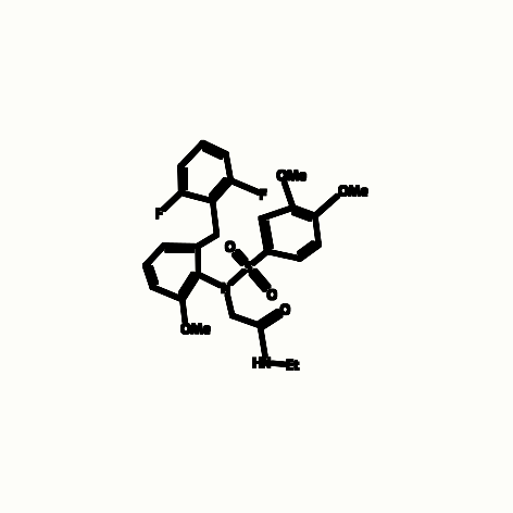 CCNC(=O)CN(c1c(Cc2c(F)cccc2F)cccc1OC)S(=O)(=O)c1ccc(OC)c(OC)c1